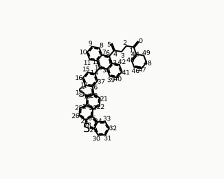 C=C(CCC(=C)c1c2ccccc2c(-c2ccc3sc4c(ccc5c4ccc4sc6ccccc6c45)c3c2)c2ccccc12)C1=CC=CCC1